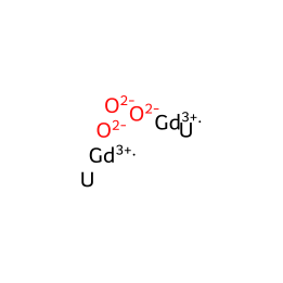 [Gd+3].[Gd+3].[O-2].[O-2].[O-2].[U].[U]